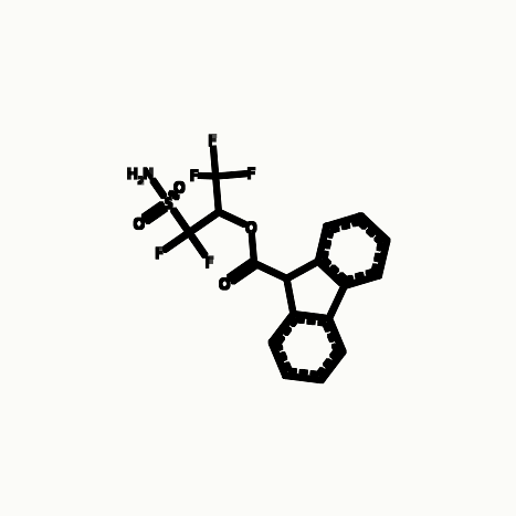 NS(=O)(=O)C(F)(F)C(OC(=O)C1c2ccccc2-c2ccccc21)C(F)(F)F